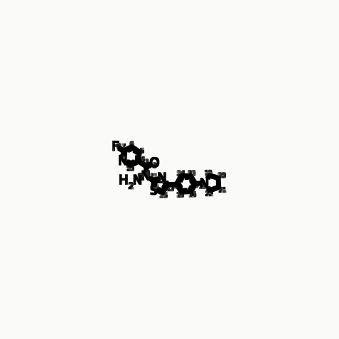 NN(C(=O)c1ccc(F)nc1)c1nc(-c2ccc(N3CCCC3)cc2)cs1